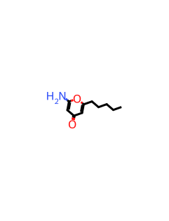 CCCCCc1cc(=O)cc(N)o1